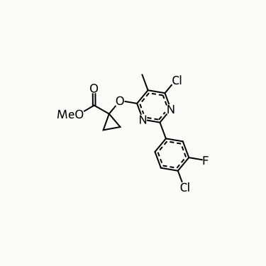 COC(=O)C1(Oc2nc(-c3ccc(Cl)c(F)c3)nc(Cl)c2C)CC1